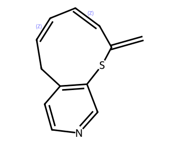 C=C1/C=C\C=C/Cc2ccncc2S1